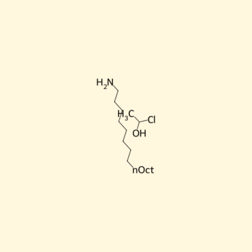 CC(O)Cl.CCCCCCCCCCCCCCCCN